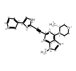 C[C@@H]1COCCN1c1nc(C#Cc2nc(-c3cccnc3)c[nH]2)nc2c1ncn2C